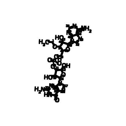 CCOC1C(COP(=O)(O)OC2C(O)OC(n3cnc4c(=O)[nH]c(N)nc43)C2O)OC(n2cnc3c(N)ncnc32)C1O